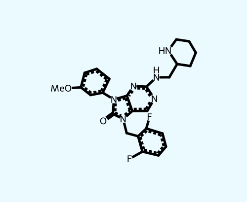 COc1cccc(-n2c(=O)n(Cc3c(F)cccc3F)c3cnc(NCC4CCCCN4)nc32)c1